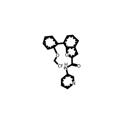 O=C(Nc1cccnc1)c1cc2cccc(-c3ccccc3OCC(F)(F)F)c2o1